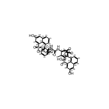 Cc1c2ccc(c1NC(=O)Nc1c3ccc(c1C)N(c1cccc4cc(O)cc(S(=O)(=O)O)c14)S3(=O)=O)S(=O)(=O)N2c1cccc2cc(O)cc(S(=O)(=O)O)c12